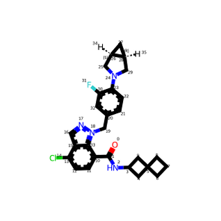 O=C(NC1CC2(CCC2)C1)c1ccc(Cl)c2cnn(Cc3ccc(N4C[C@H]5C[C@H]5C4)c(F)c3)c12